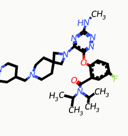 CNc1nnc(Oc2ccc(F)cc2C(=O)N(C(C)C)C(C)C)c(N2CC3(CCN(CC4CCNCC4)CC3)C2)n1